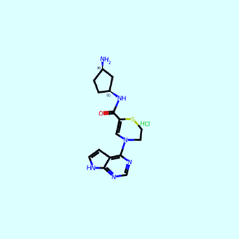 Cl.N[C@@H]1CC[C@H](NC(=O)C2=CN(c3ncnc4[nH]ccc34)CCS2)C1